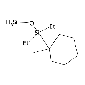 CC[Si](CC)(O[SiH3])C1(C)CCCCC1